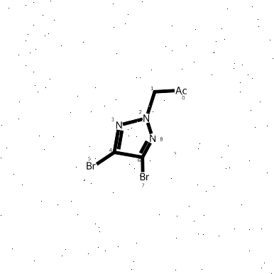 CC(=O)Cn1nc(Br)c(Br)n1